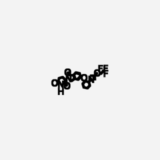 O=C1CCC(N2Cc3cc(OC4CCCCC4N4CC(OCC(F)(F)F)C4)ccc3C2=O)C(=O)N1